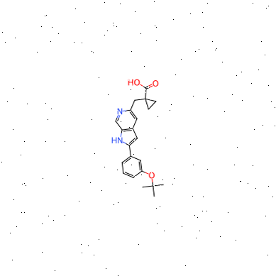 CC(C)(C)Oc1cccc(-c2cc3cc(CC4(C(=O)O)CC4)ncc3[nH]2)c1